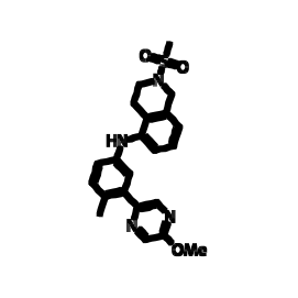 COc1cnc(-c2cc(Nc3cccc4c3CCN(S(C)(=O)=O)C4)ccc2C)cn1